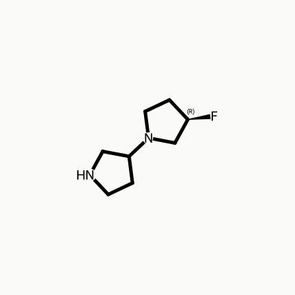 F[C@@H]1CCN(C2CCNC2)C1